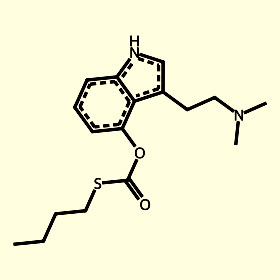 CCCCSC(=O)Oc1cccc2[nH]cc(CCN(C)C)c12